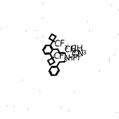 CC#N.CC(C)N(CCc1ccccc1)C(C)CCc1c(C2(C(F)(F)F)CCC2)cccc1C1(C(F)(F)F)CCC1